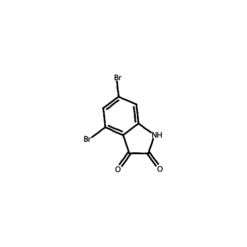 O=C1Nc2cc(Br)cc(Br)c2C1=O